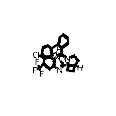 O=C(c1ccccc1-c1ccccc1)N1CC[C@@H]2CC[C@@]21c1nc2cc(C(F)(F)F)c(Cl)cc2[nH]1